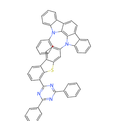 c1ccc(-c2nc(-c3ccccc3)nc(-c3cccc4c3sc3cc(-n5c6ccccc6c6ccc7c8ccccc8n(-c8ccccc8)c7c65)ccc34)n2)cc1